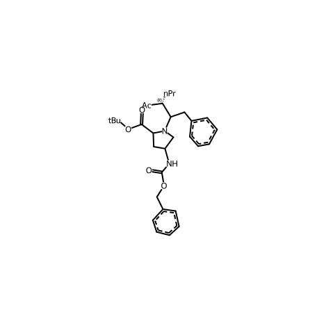 CCC[C@@H](C(C)=O)C(Cc1ccccc1)N1CC(NC(=O)OCc2ccccc2)CC1C(=O)OC(C)(C)C